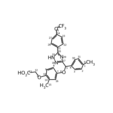 Cc1ccc(C(Oc2ccc(OCC(=O)O)c(C)c2)c2n[nH]c(-c3ccc(OC(F)(F)F)cc3)n2)cc1